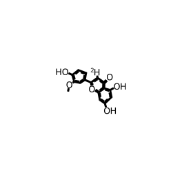 [2H]c1c(-c2ccc(O)c(OC)c2)oc2cc(O)cc(O)c2c1=O